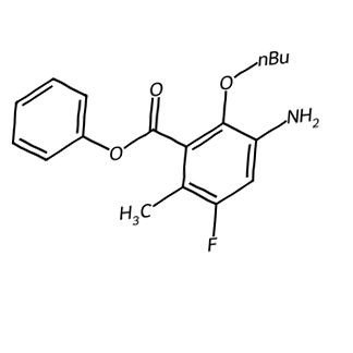 CCCCOc1c(N)cc(F)c(C)c1C(=O)Oc1ccccc1